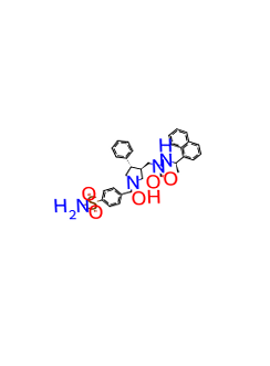 C[C@@H](NN(C[C@H]1CN(C(=O)c2ccc(S(N)(=O)=O)cc2)C[C@@H]1c1ccccc1)C(=O)O)c1cccc2ccccc12